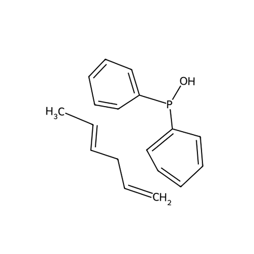 C=CC/C=C/C.OP(c1ccccc1)c1ccccc1